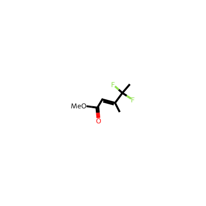 COC(=O)/C=C(\C)C(C)(F)F